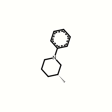 C[C@@H]1CCCN(c2ccccc2)C1